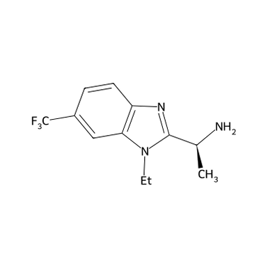 CCn1c([C@H](C)N)nc2ccc(C(F)(F)F)cc21